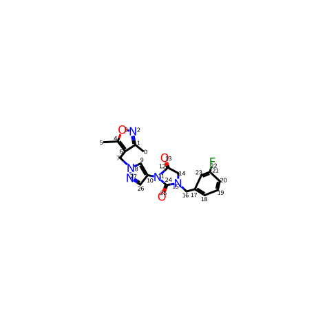 Cc1noc(C)c1Cn1cc(N2C(=O)CN(Cc3cccc(F)c3)C2=O)cn1